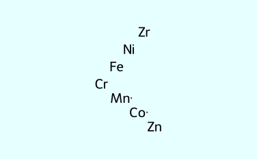 [Co].[Cr].[Fe].[Mn].[Ni].[Zn].[Zr]